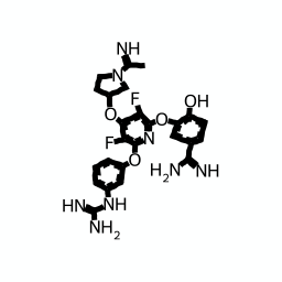 CC(=N)N1CCC(Oc2c(F)c(Oc3cccc(NC(=N)N)c3)nc(Oc3cc(C(=N)N)ccc3O)c2F)C1